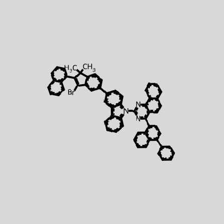 CC1(C)C(c2cccc3ccccc23)=C(Br)c2cc(-c3ccc4c(c3)c3ccccc3n4-c3nc(-c4ccc(-c5ccccc5)c5ccccc45)c4ccc5ccccc5c4n3)ccc21